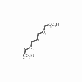 CCOC(=O)COCCCOCC(=O)O